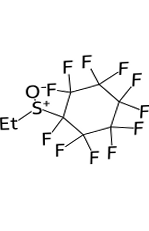 CC[S+]([O-])C1(F)C(F)(F)C(F)(F)C(F)(F)C(F)(F)C1(F)F